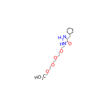 N[C@@H](Cc1ccccc1)C(=O)NCCOCCOCCOCCOCC(=O)O